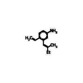 C=Cc1ccc(N)cc1/C=C(\C)CC